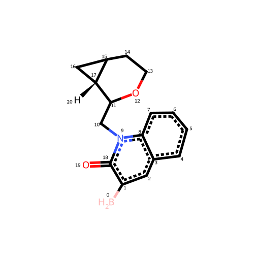 Bc1cc2ccccc2n(CC2OCCC3C[C@H]32)c1=O